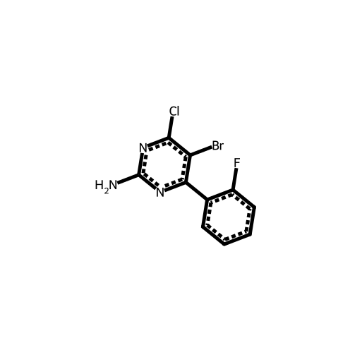 Nc1nc(Cl)c(Br)c(-c2ccccc2F)n1